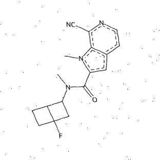 CN(C(=O)c1cc2ccnc(C#N)c2n1C)C1CC2(F)CCC12